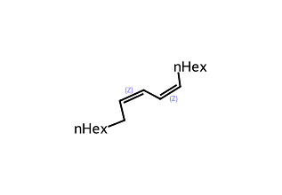 [CH2]CCCCCC/C=C\C=C/CCCCCC